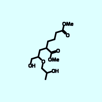 COC(=O)CCCC(CC(CO)OCC(C)O)C(=O)OC